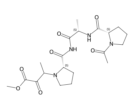 COC(=O)C(=O)C(C)N1CCC[C@H]1C(=O)NC(=O)[C@H](C)NC(=O)[C@@H]1CCCN1C(C)=O